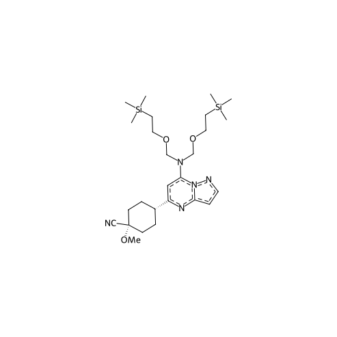 CO[C@]1(C#N)CC[C@H](c2cc(N(COCC[Si](C)(C)C)COCC[Si](C)(C)C)n3nccc3n2)CC1